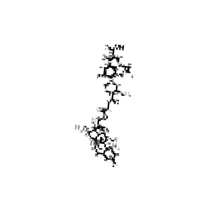 COc1c(N2CCN(C(=O)CCC(=O)OCC(=O)[C@]3(O)[C@H](C)C[C@@H]4[C@H]5CCC6=CC(=O)C=C[C@@]6(C)[C@]5(F)[C@H](O)C[C@]43C)C(C)C2)c(F)cc2c(=O)c(C(=O)O)cn(C3CC3)c12